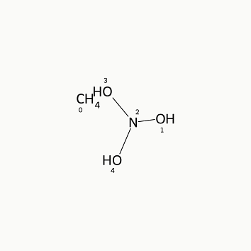 C.ON(O)O